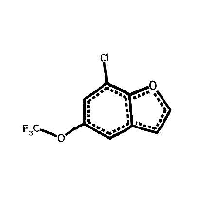 FC(F)(F)Oc1cc(Cl)c2oc[c]c2c1